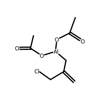 C=C(CCl)[CH2][Al]([O]C(C)=O)[O]C(C)=O